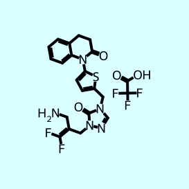 NCC(Cn1ncn(Cc2ccc(N3C(=O)CCc4ccccc43)s2)c1=O)=C(F)F.O=C(O)C(F)(F)F